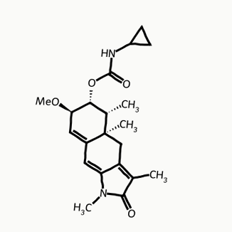 CO[C@@H]1C=C2C=C3C(=C(C)C(=O)N3C)C[C@]2(C)[C@@H](C)[C@H]1OC(=O)NC1CC1